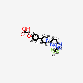 O=C(O)COc1ccc(C2CCN(C3=Nn4c(nnc4C(F)(F)F)CC3)CC2)cc1